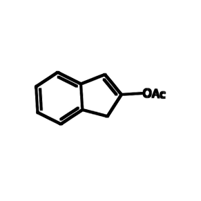 CC(=O)OC1=Cc2ccccc2C1